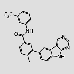 Cc1ccc(C(=O)Nc2cccc(C(F)(F)F)c2)cc1-c1ccc2[nH]c3ncncc3c2c1